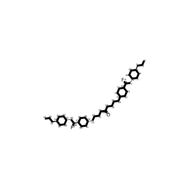 CCC[C@H]1CC[C@H](CC(F)C2CCC(CCCCC(=O)CCCC[C@H]3CC[C@H](C(F)C[C@H]4CC[C@H](CCC)CC4)CC3)CC2)CC1